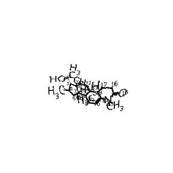 CC(O)[C@H]1C(C)C[C@H]2[C@@H]3CC=C4N(C)C(=O)CC[C@]4(C)[C@H]3CC[C@]12C